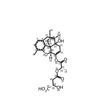 Cc1ccc2c3c1O[C@H]1C(OC(=O)[C@H](C)OC(=O)C[C@H](O)C(=O)O)=CC[C@@]4(O)[C@@H](C2)N(C)CC[C@]314